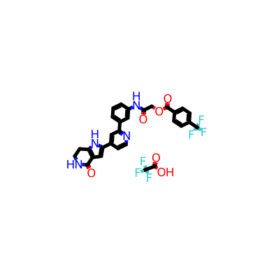 O=C(COC(=O)c1ccc(C(F)(F)F)cc1)Nc1cccc(-c2cc(-c3cc4c([nH]3)CCNC4=O)ccn2)c1.O=C(O)C(F)(F)F